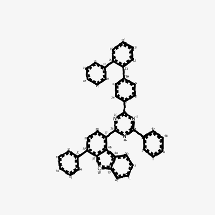 c1ccc(-c2nc(-c3ccc(-c4ccccc4-c4ccccc4)cc3)nc(-c3ccc(-c4ccccc4)c4oc5ccccc5c34)n2)cc1